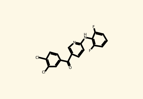 O=C(c1ccc(Nc2c(F)cccc2F)nc1)c1ccc(Cl)c(Cl)c1